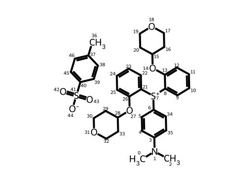 CN(C)c1ccc([S+](c2ccccc2OC2CCOCC2)c2ccccc2OC2CCOCC2)cc1.Cc1ccc(S(=O)(=O)[O-])cc1